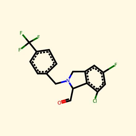 O=CC1c2c(Cl)cc(F)cc2CN1Cc1ccc(C(F)(F)F)cc1